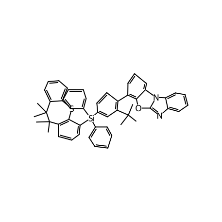 CC(C)(C)c1cc([Si](c2ccccc2)(c2ccccc2)c2cccc3c2Sc2ccccc2C(C)(C)C3(C)C)ccc1-c1cccc2c1oc1nc3ccccc3n12